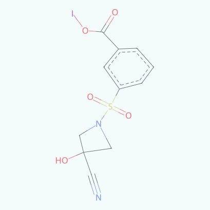 N#CC1(O)CN(S(=O)(=O)c2cccc(C(=O)OI)c2)C1